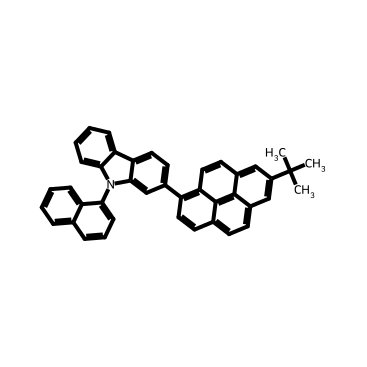 CC(C)(C)c1cc2ccc3ccc(-c4ccc5c6ccccc6n(-c6cccc7ccccc67)c5c4)c4ccc(c1)c2c34